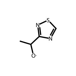 CC([O])c1ncsn1